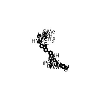 C=C(C)[C@H](NC(=O)OC)C(=O)N1CCC[C@H]1c1nc(-c2ccc3c(c2)C(F)(F)c2cc(-c4ccc5[nH]c(C6CC(OC(=O)N7Cc8cc9c(cc8C7)OCO9)CN6C(=O)[C@@H](NC(=O)OC)C(C)C)nc5c4)ccc2-3)c[nH]1